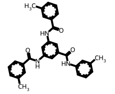 Cc1cccc(NC(=O)c2cc(NC(=O)c3cccc(C)c3)cc(NC(=O)c3cccc(C)c3)c2)c1